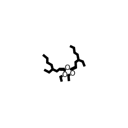 CCCCC(CC)CC=C(OCC)OC(=CCC(CC)CCCC)OCC